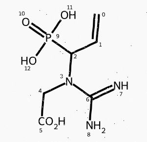 C=CC(N(CC(=O)O)C(=N)N)P(=O)(O)O